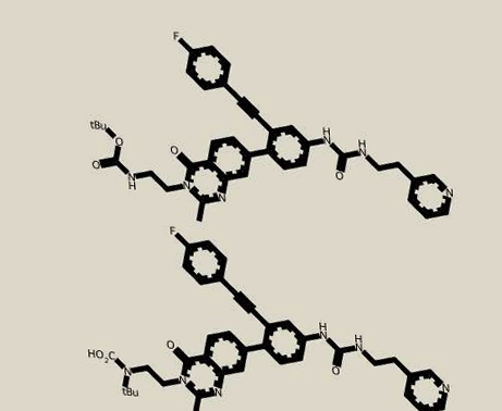 Cc1nc2cc(-c3ccc(NC(=O)NCCc4cccnc4)cc3C#Cc3ccc(F)cc3)ccc2c(=O)n1CCN(C(=O)O)C(C)(C)C.Cc1nc2cc(-c3ccc(NC(=O)NCCc4cccnc4)cc3C#Cc3ccc(F)cc3)ccc2c(=O)n1CCNC(=O)OC(C)(C)C